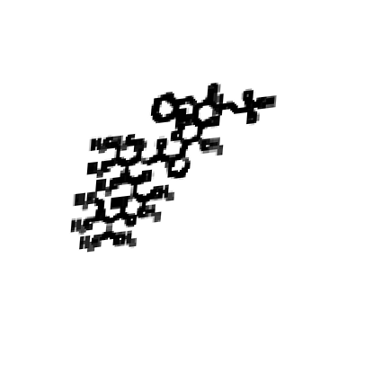 CC[C@H](C)[C@@H]([C@@H](CC(=O)N1CCC[C@H]1[C@H](OC)[C@@H](C)C(=O)N[C@@H](CC1=CC=CCC1)C(=O)NCCS(=O)(=O)O)OC)N(C)C(=O)[C@@H](NC(=O)[C@H](C(C)C)N(C)CC)C(C)C